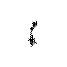 O=C1CCC(N2C(=O)c3ccc(CCCCCN4CCC(n5cc([N+](=O)[O-])c(C(F)F)n5)CC4)cc3C2=O)C(=O)N1